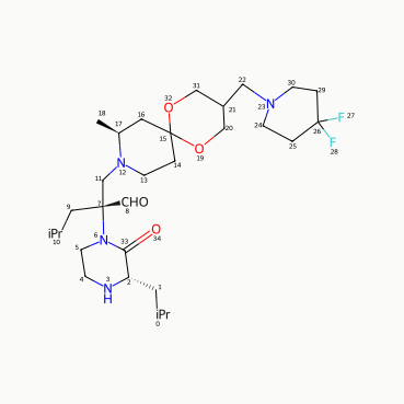 CC(C)C[C@@H]1NCCN([C@](C=O)(CC(C)C)CN2CCC3(C[C@@H]2C)OCC(CN2CCC(F)(F)CC2)CO3)C1=O